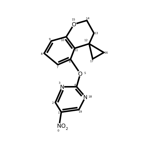 O=[N+]([O-])c1cnc(Oc2cccc3c2C2(CCO3)CC2)nc1